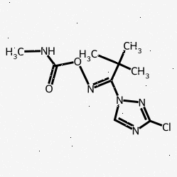 CNC(=O)ON=C(n1cnc(Cl)n1)C(C)(C)C